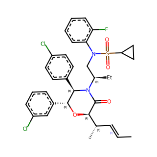 C/C=C/[C@H](C)[C@H]1O[C@H](c2cccc(Cl)c2)[C@@H](c2ccc(Cl)cc2)N([C@H](CC)CN(c2ccccc2F)S(=O)(=O)C2CC2)C1=O